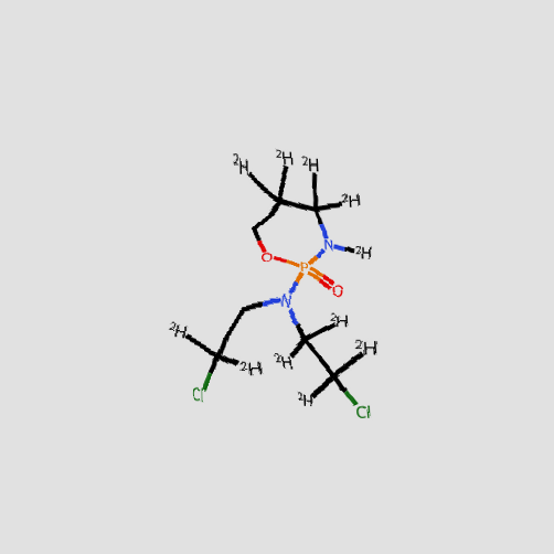 [2H]N1C([2H])([2H])C([2H])([2H])COP1(=O)N(CC([2H])([2H])Cl)C([2H])([2H])C([2H])([2H])Cl